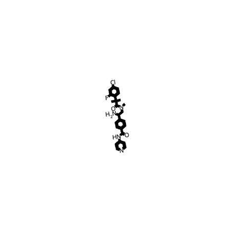 CN(CC(N)c1ccc(C(=O)Nc2ccncc2)cc1)C(=O)C(C)(C)c1ccc(Cl)cc1F